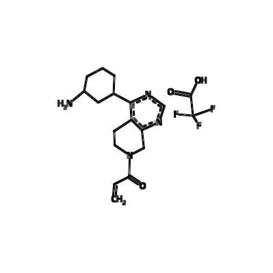 C=CC(=O)N1CCc2c(ncnc2C2CCCC(N)C2)C1.O=C(O)C(F)(F)F